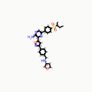 CCC(C)S(=O)(=O)c1ccc(-c2cnc(N)c(-c3cc(-c4ccc(CN[C@H]5CCOC5)cc4)no3)n2)cc1